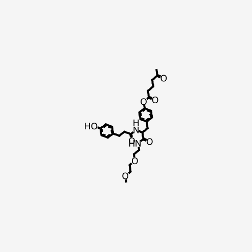 COCCOCCNC(=O)C(Cc1ccc(OC(=O)CCCC(C)=O)cc1)NC(=O)CCc1ccc(O)cc1